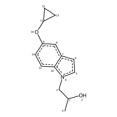 CC(O)Cn1ccc2cc(OC3CC3)ccc21